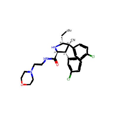 CC(C)(C)C[C@H]1N[C@H](C(=O)NCCN2CCOCC2)[C@@H](c2cccc(Cl)c2)[C@]1(C#N)c1ccc(Cl)cc1